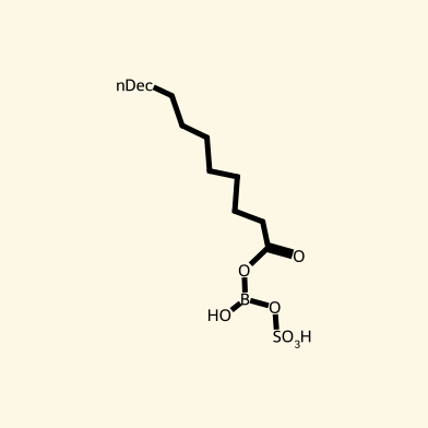 CCCCCCCCCCCCCCCCCC(=O)OB(O)OS(=O)(=O)O